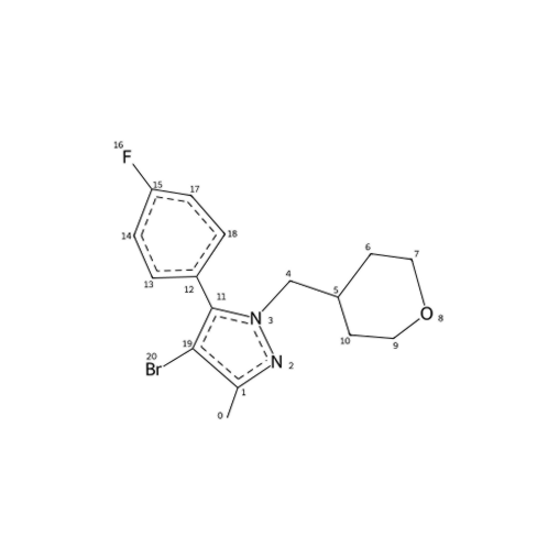 Cc1nn(CC2CCOCC2)c(-c2ccc(F)cc2)c1Br